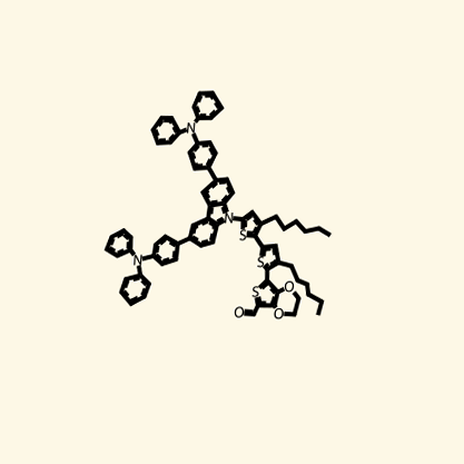 CCCCCCc1cc(-n2c3ccc(-c4ccc(N(c5ccccc5)c5ccccc5)cc4)cc3c3cc(-c4ccc(N(c5ccccc5)c5ccccc5)cc4)ccc32)sc1-c1cc(CCCCCC)c(-c2sc(C=O)c3c2OCCO3)s1